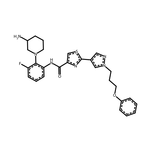 NC1CCCN(c2c(F)cccc2NC(=O)c2csc(-c3cnn(CCCOc4ccccc4)c3)n2)C1